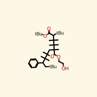 CC(C)(C)CC(c1ccccc1)C(C)(C)C(C)(C)CC(C)(C(=O)OCCO)C(C)(C)C(C)(C)C(C(=O)OC(C)(C)C)C(C)(C)C